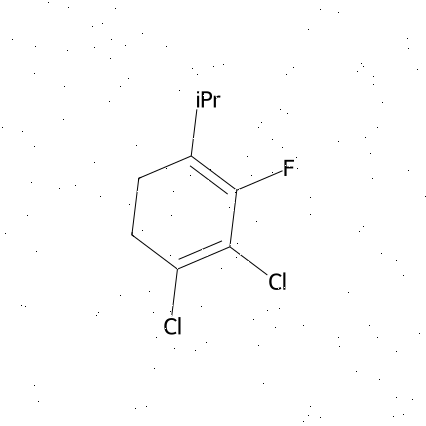 CC(C)C1=C(F)C(Cl)=C(Cl)CC1